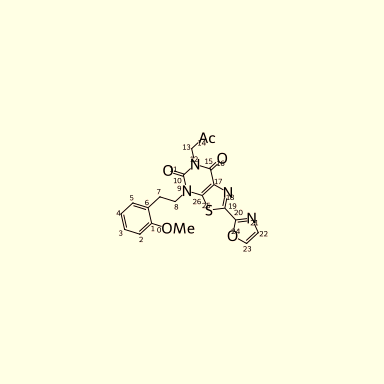 COc1ccccc1CCn1c(=O)n(CC(C)=O)c(=O)c2nc(-c3ncco3)sc21